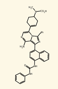 CC(C)c1nc(-c2ccc(NC(=O)Nc3ccccc3)c3ccccc23)c2c(N)ncc(C3=CCC(N(C)C(=O)O)CC3)n12